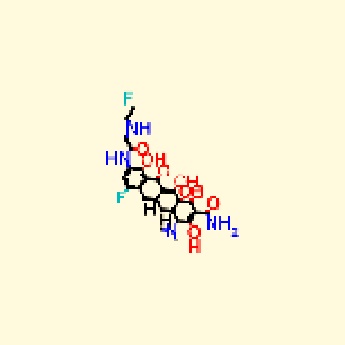 CN(C)[C@@H]1C(O)=C(C(N)=O)C(=O)[C@@]2(O)C(O)=C3C(=O)c4c(O)c(NC(=O)CNCCF)cc(F)c4C[C@H]3C[C@@H]12